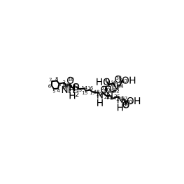 N[C@H](CC1CCCCC1)C(=O)NOCCCCCCNC(=O)CN(CCNCC(=O)O)CCN(CC(=O)O)CC(=O)O